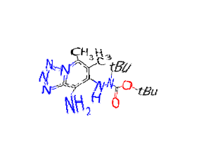 Cc1c(NN(C(=O)OC(C)(C)C)C(C)(C)C)c(N)c2nnnn2c1C